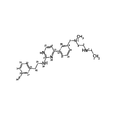 CCNCCN(C)Cc1cccc(-c2ccnc(NCCc3cccc(F)c3)n2)c1